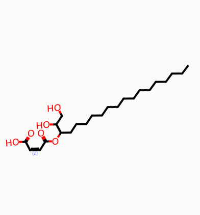 CCCCCCCCCCCCCCCCC(OC(=O)/C=C\C(=O)O)C(O)CO